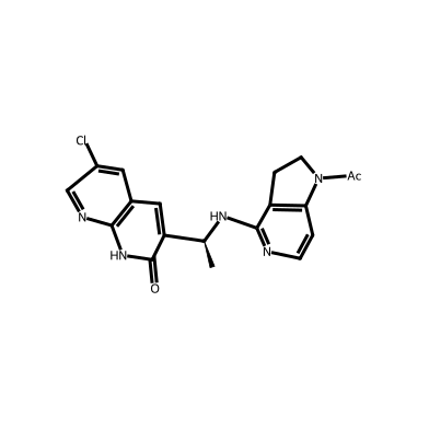 CC(=O)N1CCc2c1ccnc2N[C@@H](C)c1cc2cc(Cl)cnc2[nH]c1=O